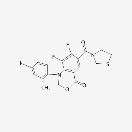 Cc1cc(I)ccc1N1COC(=O)c2cc(C(=O)N3CCSC3)c(F)c(F)c21